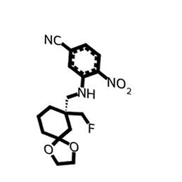 N#Cc1ccc([N+](=O)[O-])c(NC[C@@]2(CF)CCCC3(C2)OCCO3)c1